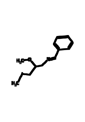 C[CH]CC(CN=Cc1ccccc1)OC